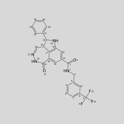 O=C(NCc1cccc(C(F)(F)F)c1)c1cc2c3c(c1)C(=O)NN=CC3C(c1ccccc1)N2